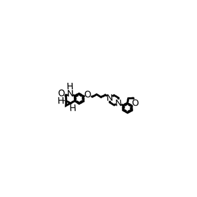 O=C1Nc2cc(OCCCCN3CCN(c4cccc5c4CCO5)CC3)ccc2[C@H]2C[C@@H]12